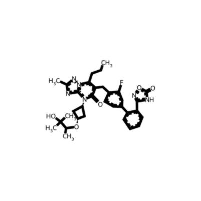 CCCc1c(Cc2ccc(-c3ccccc3-c3noc(=O)[nH]3)cc2F)c(=O)n([C@H]2C[C@@H](OC(C)C(C)(C)O)C2)c2nc(C)nn12